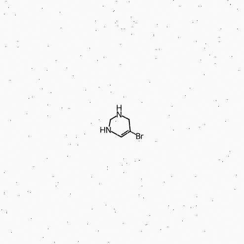 BrC1=CNCNC1